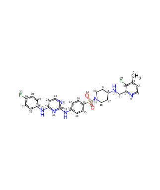 Cc1ccnc(CNC2CCN(S(=O)(=O)c3ccc(Nc4nccc(Nc5ccc(F)cc5)n4)cc3)CC2)c1F